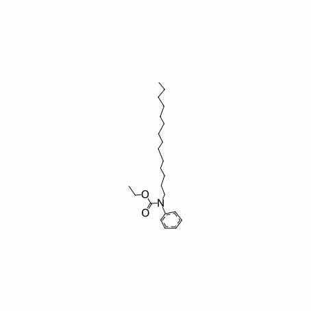 CCCCCCCCCCCCCCN(C(=O)OCC)c1ccccc1